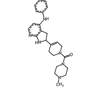 CN1CCN(C(=O)N2CC=C(C3Cc4c(Nc5ccccc5)ccnc4N3)CC2)CC1